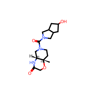 C[C@]12CCN(C(=O)N3CC4CC(O)CC4C3)C[C@H]1NC(=O)CO2